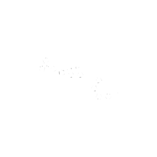 CCCCCCC1(C)c2cc(-c3ccc(CCCC4Cc5ccc(-c6cccc(-c7cccc(C)c7)c6)cc5-c5ccccc54)cc3)ccc2-c2ccc(-c3ccc(-n4c5ccccc5c5ccccc54)cc3)cc21